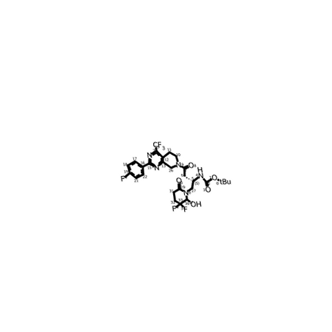 CC(C)(C)OC(=O)N[C@@H](CC(=O)N1CCc2c(nc(-c3ccc(F)cc3)nc2C(F)(F)F)C1)CN1C(=O)CCC(F)(F)C1O